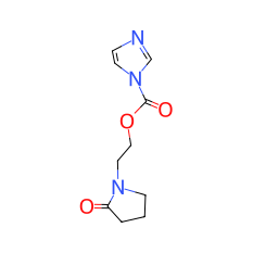 O=C1CCCN1CCOC(=O)n1ccnc1